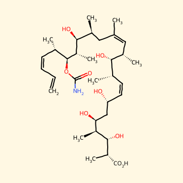 C=C/C=C\[C@H](C)[C@H](OC(N)=O)[C@@H](C)[C@@H](O)[C@@H](C)C/C(C)=C\[C@H](C)[C@@H](O)[C@@H](C)/C=C\[C@@H](O)C[C@H](O)[C@H](C)[C@H](O)[C@@H](C)C(=O)O